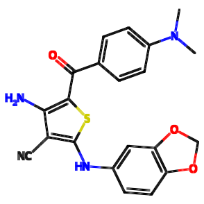 CN(C)c1ccc(C(=O)c2sc(Nc3ccc4c(c3)OCO4)c(C#N)c2N)cc1